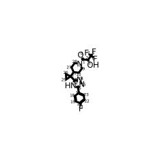 O=C(C(O)C(F)(F)F)N1CCC(C2(c3nnc(-c4ccc(F)cc4)[nH]3)CC2)CC1